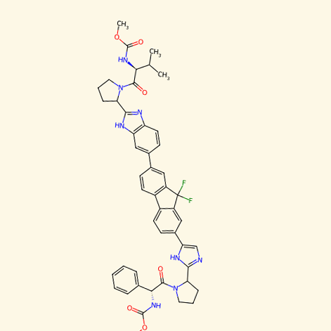 COC(=O)N[C@H](C(=O)N1CCCC1c1nc2ccc(-c3ccc4c(c3)C(F)(F)c3cc(-c5cnc(C6CCCN6C(=O)[C@H](NC(=O)OC)c6ccccc6)[nH]5)ccc3-4)cc2[nH]1)C(C)C